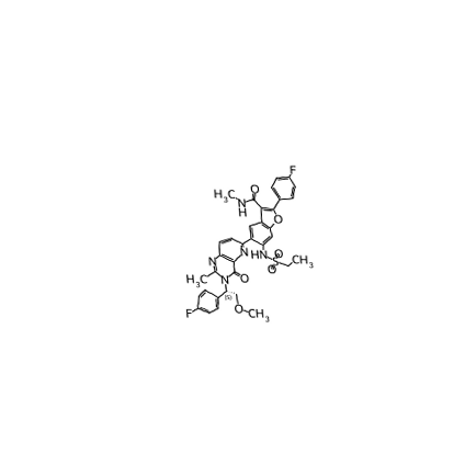 CCS(=O)(=O)Nc1cc2oc(-c3ccc(F)cc3)c(C(=O)NC)c2cc1-c1ccc2nc(C)n([C@H](COC)c3ccc(F)cc3)c(=O)c2n1